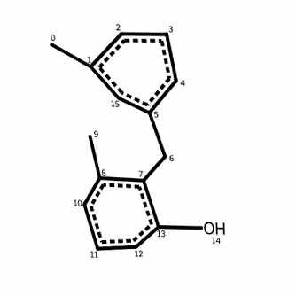 Cc1cccc(Cc2c(C)cccc2O)c1